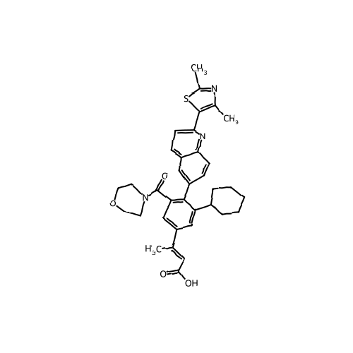 C/C(=C\C(=O)O)c1cc(C(=O)N2CCOCC2)c(-c2ccc3nc(-c4sc(C)nc4C)ccc3c2)c(C2CCCCC2)c1